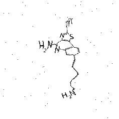 CCCc1nc2c(N)nc3cc(CCCCCN)ccc3c2s1